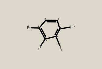 CCc1ccc(I)c(I)c1I